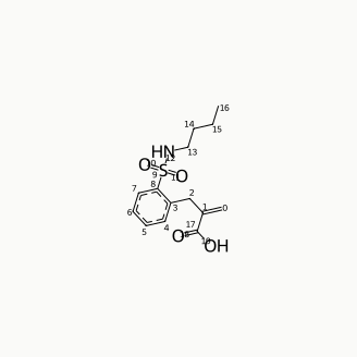 C=C(Cc1ccccc1S(=O)(=O)NCCCC)C(=O)O